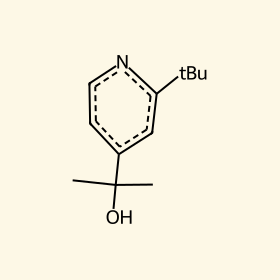 CC(C)(C)c1cc(C(C)(C)O)ccn1